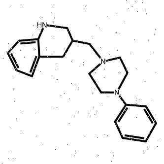 c1ccc(N2CCN(CC3CNc4ccccc4C3)CC2)cc1